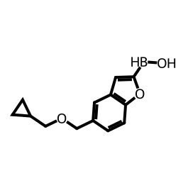 OBc1cc2cc(COCC3CC3)ccc2o1